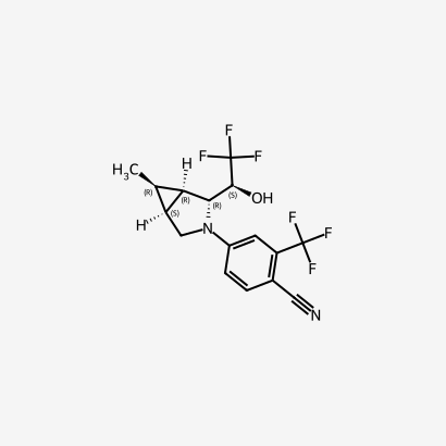 C[C@@H]1[C@@H]2CN(c3ccc(C#N)c(C(F)(F)F)c3)[C@@H]([C@H](O)C(F)(F)F)[C@H]12